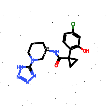 O=C(N[C@@H]1CCCN(c2nnn[nH]2)C1)C1(c2ccc(Cl)cc2O)CC1